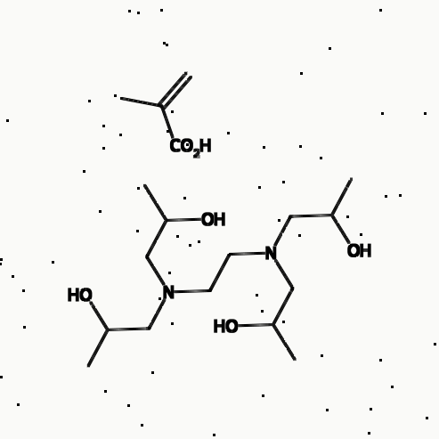 C=C(C)C(=O)O.CC(O)CN(CCN(CC(C)O)CC(C)O)CC(C)O